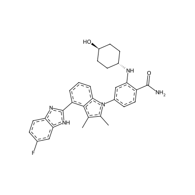 Cc1c(C)n(-c2ccc(C(N)=O)c(N[C@H]3CC[C@H](O)CC3)c2)c2cccc(-c3nc4ccc(F)cc4[nH]3)c12